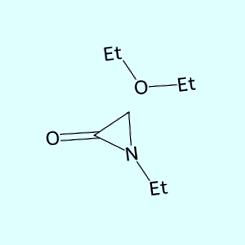 CCN1CC1=O.CCOCC